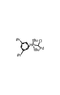 CC(C)c1cc(C(C)C)cc([PH]([CH](Cl)[Pd])(C(C)(C)C)C(C)(C)C)c1